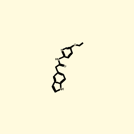 CCOc1ccc(NC(=O)Cc2ccc3[nH]ccc3c2)nc1